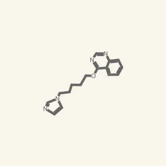 c1ccc2c(OCCCCCn3ccnc3)ncnc2c1